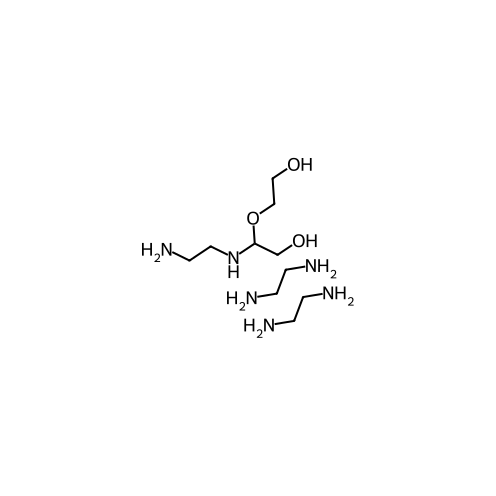 NCCN.NCCN.NCCNC(CO)OCCO